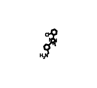 Cn1nc(-c2ccccc2Cl)nc1-c1cccc(CN)c1